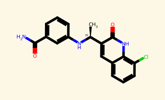 C[C@H](Nc1cccc(C(N)=O)c1)c1cc2cccc(Cl)c2[nH]c1=O